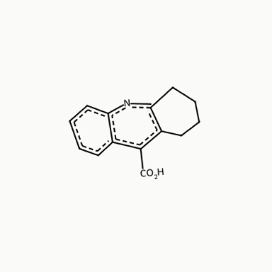 O=C(O)c1c2c(nc3ccccc13)CCCC2